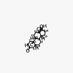 C[C@]12CCC(=O)C[C@@H]1CCC1[C@@H]2CC[C@]2(C)[C@@H](O)CC[C@@H]12